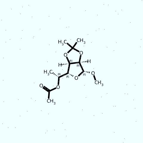 CO[C@@H]1O[C@H]([C@@H](C)OC(C)=O)[C@H]2OC(C)(C)O[C@@H]12